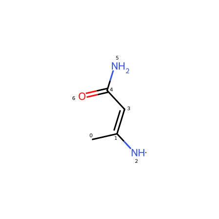 C/C([NH])=C\C(N)=O